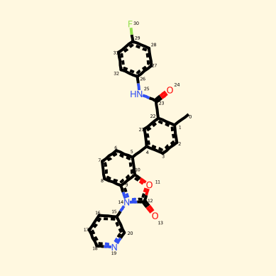 Cc1ccc(-c2cccc3c2oc(=O)n3-c2cccnc2)cc1C(=O)Nc1ccc(F)cc1